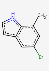 [CH2]c1cc(Br)cc2cc[nH]c12